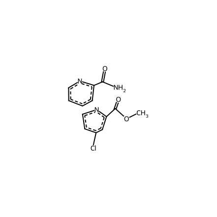 COC(=O)c1cc(Cl)ccn1.NC(=O)c1ccccn1